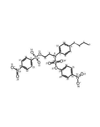 CCCCc1ccc(N(CCOS(=O)(=O)c2ccc([N+](=O)[O-])cc2)S(=O)(=O)Oc2ccc([N+](=O)[O-])cc2)cc1